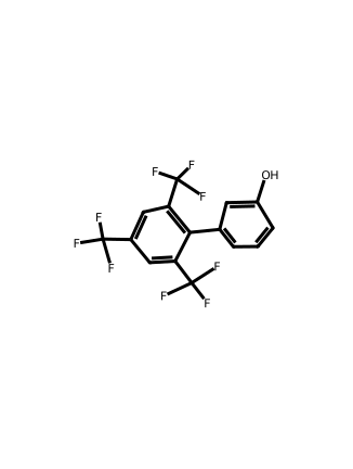 Oc1cccc(-c2c(C(F)(F)F)cc(C(F)(F)F)cc2C(F)(F)F)c1